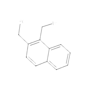 BrCc1ccc2ccccc2c1CBr